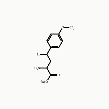 CCC(CC(N)C(=O)OC)c1ccc(OC(F)(F)F)cc1